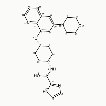 OC(N[C@H]1CC[C@@H](Oc2cc(N3CCOCC3)cc3nccnc23)CC1)c1ncc[nH]1